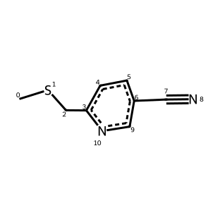 CSCc1ccc(C#N)cn1